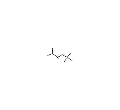 CC(I)OC[Si](C)(C)C